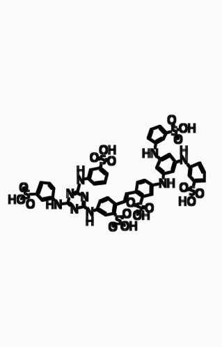 O=S(=O)(O)c1cccc(Nc2cc(Nc3cccc(S(=O)(=O)O)c3)cc(Nc3ccc(C=Cc4ccc(Nc5nc(Nc6cccc(S(=O)(=O)O)c6)nc(Nc6cccc(S(=O)(=O)O)c6)n5)cc4S(=O)(=O)O)c(S(=O)(=O)O)c3)c2)c1